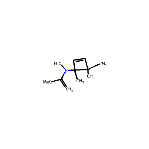 C=C(OC)N(C)C1(C)C=CC1(C)C